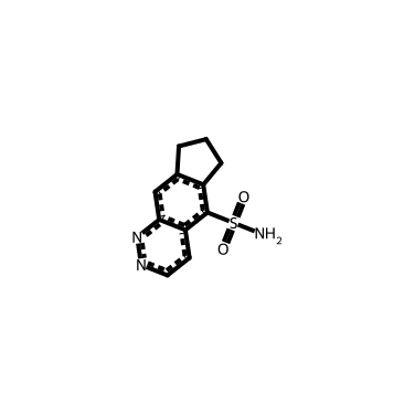 NS(=O)(=O)c1c2c(cc3nnccc13)CCC2